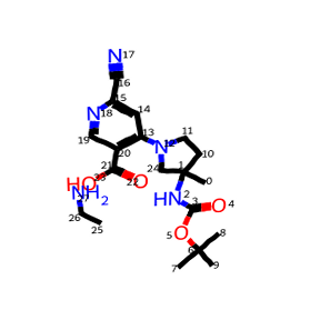 CC1(NC(=O)OC(C)(C)C)CCN(c2cc(C#N)ncc2C(=O)O)C1.CCN